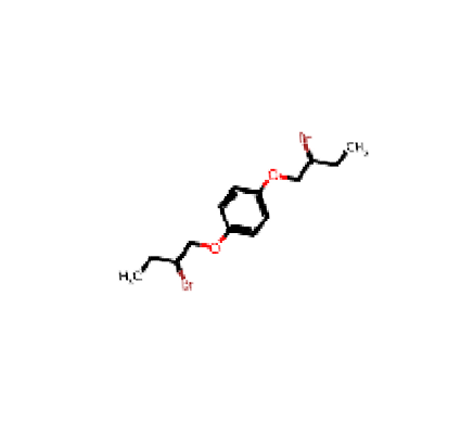 CCC(Br)COc1ccc(OCC(Br)CC)cc1